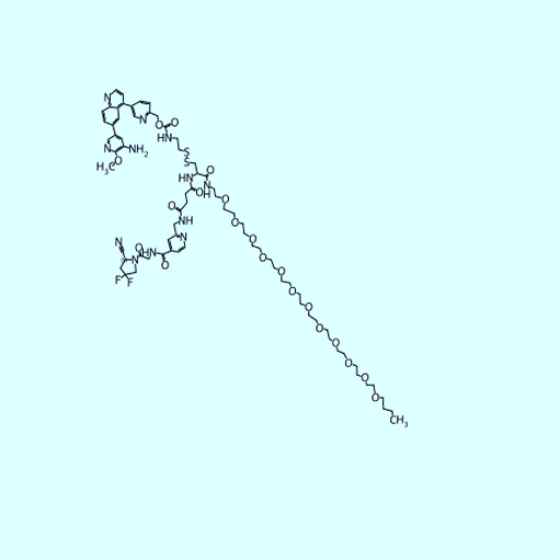 CCCCOCCOCCOCCOCCOCCOCCOCCOCCOCCOCCOCCOCCNC(=O)C(CSSCCNC(=O)OCc1ccc(-c2ccnc3ccc(-c4cnc(OC)c(N)c4)cc23)cn1)NC(=O)CCC(=O)NCc1cc(C(=O)NCC(=O)N2CC(F)(F)C[C@H]2C#N)ccn1